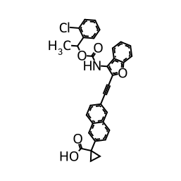 CC(OC(=O)Nc1c(C#Cc2ccc3cc(C4(C(=O)O)CC4)ccc3c2)oc2ccccc12)c1ccccc1Cl